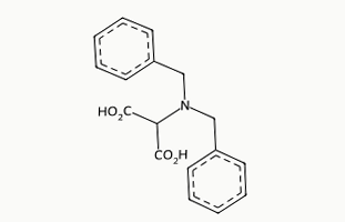 O=C(O)C(C(=O)O)N(Cc1ccccc1)Cc1ccccc1